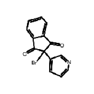 O=C1c2ccccc2C(=O)C1(Br)c1cccnc1